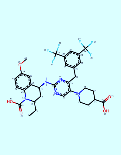 CC[C@@H]1C[C@H](Nc2ncc(N3CCC(C(=O)O)CC3)c(Cc3cc(C(F)(F)F)cc(C(F)(F)F)c3)n2)c2cc(OC)ccc2N1C(=O)O